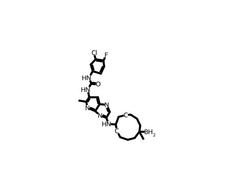 BC1(C)CCCCCC(Nc2cnc3cc(NC(=O)Nc4ccc(F)c(Cl)c4)c(C)nc3n2)CCCC1